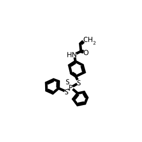 C=CC(=O)Nc1ccc(SP(=S)(Sc2ccccc2)c2ccccc2)cc1